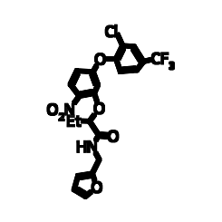 CCC(Oc1cc(Oc2ccc(C(F)(F)F)cc2Cl)ccc1[N+](=O)[O-])C(=O)NCc1ccco1